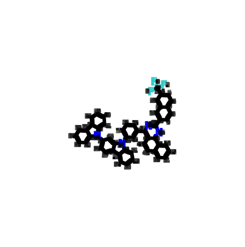 FC(F)(F)c1ccc2ccc(-c3nc(-c4cccc(-n5c6ccccc6c6ccc(-n7c8ccccc8c8ccccc87)cc65)c4)c4ccc5ccccc5c4n3)cc2c1